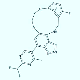 Cc1nc(C(F)F)ncc1-c1cc2c(n3cnnc13)NCc1c(F)ccc(c1C)OCCO2